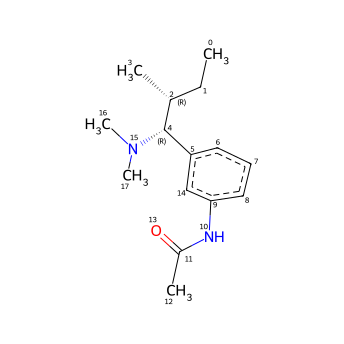 CC[C@@H](C)[C@H](c1cccc(NC(C)=O)c1)N(C)C